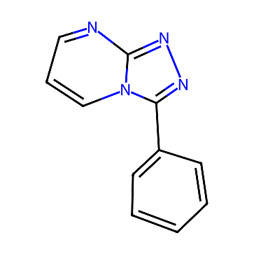 c1ccc(-c2nnc3ncccn23)cc1